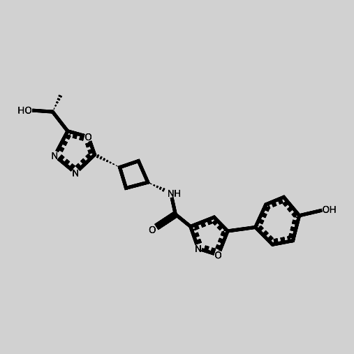 C[C@@H](O)c1nnc([C@H]2C[C@@H](NC(=O)c3cc(-c4ccc(O)cc4)on3)C2)o1